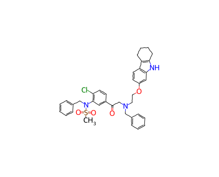 CS(=O)(=O)N(Cc1ccccc1)c1cc(C(=O)CN(CCOc2ccc3c4c([nH]c3c2)CCCC4)Cc2ccccc2)ccc1Cl